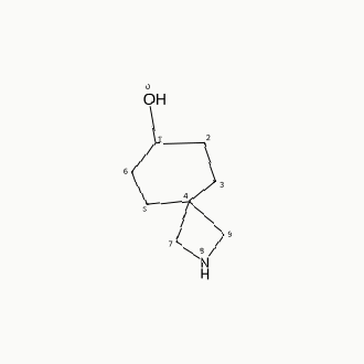 OC1CCC2(CC1)CNC2